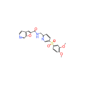 COc1ccc(S(=O)(=O)c2ccc(CNC(=O)c3cc4ccncc4o3)nc2)cc1OC